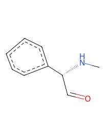 CN[C@H](C=O)c1ccccc1